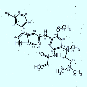 C=CC(=O)Nc1cc(Nc2cc3c(-c4cccc(F)c4)c[nH]c3cn2)c(OC)cc1N(C)CCN(C)C